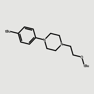 CC(C)(C)OCCN1CCN(c2ccc(C(C)(C)C)cc2)CC1